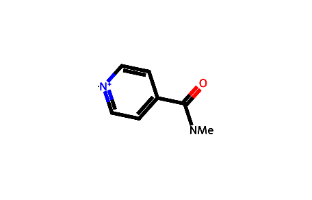 CNC(=O)C1=CC=[N+]C=C1